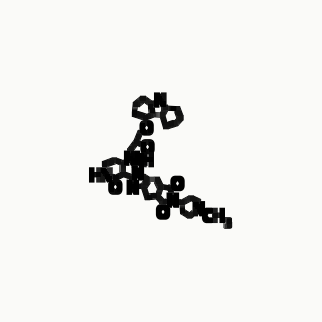 CN1CCC(N2C(=O)c3cc4nc(-c5c(NCC(O)COc6cccc7c6C6C=CC=CC6=N7)cc[nH]c5=O)[nH]c4cc3C2=O)CC1